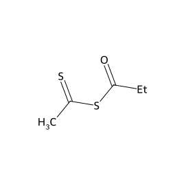 CCC(=O)SC(C)=S